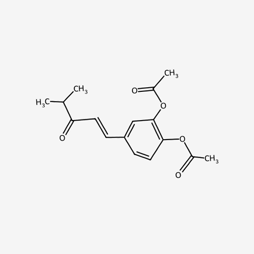 CC(=O)Oc1ccc(/C=C/C(=O)C(C)C)cc1OC(C)=O